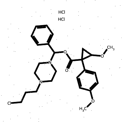 COc1ccc(C2(C(=O)OC(c3ccccc3)N3CCN(CCCCl)CC3)CC2OC)cc1.Cl.Cl